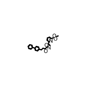 CC1OC(c2cccc(-c3cnc(C(=O)CCc4ccc(-c5ccccc5)cc4)o3)n2)O1